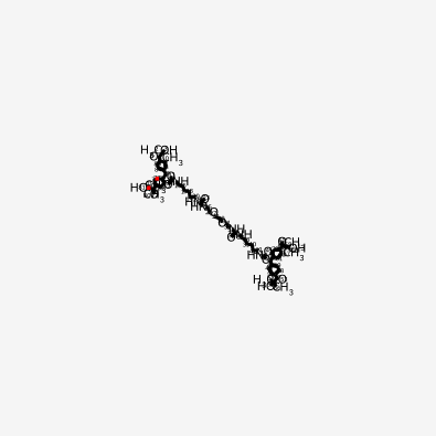 CC(C)(O)C(=O)c1ccc(C(OC(=O)NCCCCCCNC(=O)NCCOCCOCCNC(=O)NCCCCCCNC(=O)OC(c2ccc(C(=O)C(C)(C)O)cc2)c2ccc(C(=O)C(C)(C)O)cc2)c2ccc(C(=O)C(C)(C)O)cc2)cc1